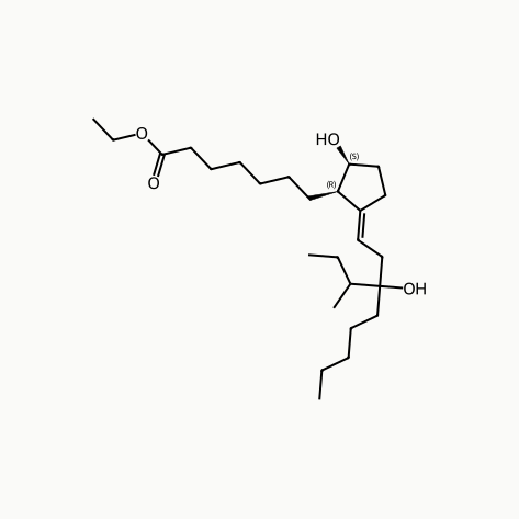 CCCCCC(O)(CC=C1CC[C@H](O)[C@@H]1CCCCCCC(=O)OCC)C(C)CC